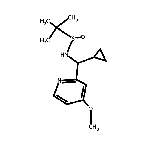 COc1ccnc(C(N[S+]([O-])C(C)(C)C)C2CC2)c1